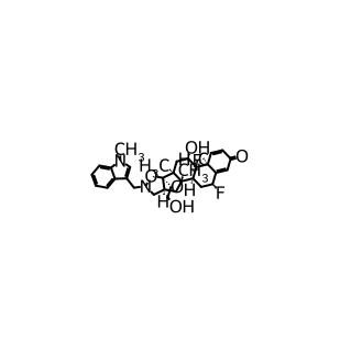 Cn1cc(CN2C[C@@H]3C[C@@]4(C)[C@@H]5C[C@H](F)C6=CC(=O)C=C[C@]6(C)[C@@]5(F)[C@@H](O)C[C@]4(C)[C@]3(C(=O)CO)O2)c2ccccc21